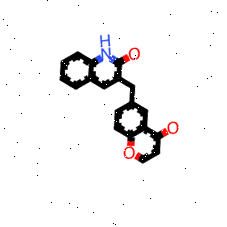 O=c1[nH]c2ccccc2cc1Cc1ccc2occc(=O)c2c1